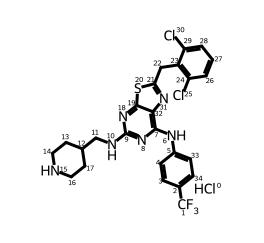 Cl.FC(F)(F)c1ccc(Nc2nc(NCC3CCNCC3)nc3sc(Cc4c(Cl)cccc4Cl)nc23)cc1